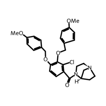 COc1ccc(COc2ccc(C(=O)N3CC[N@@]4CC[C@@H]3C4)c(Cl)c2OCc2ccc(OC)cc2)cc1